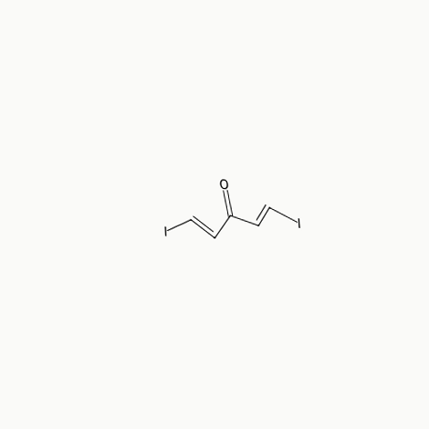 O=C(/C=C/I)/C=C/I